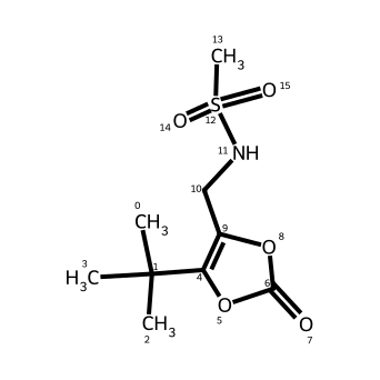 CC(C)(C)c1oc(=O)oc1CNS(C)(=O)=O